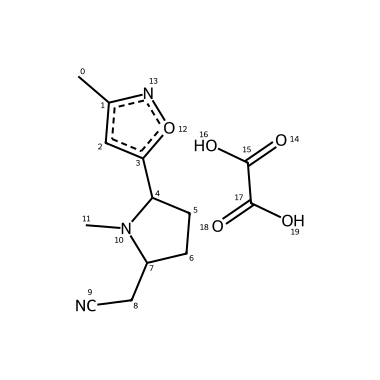 Cc1cc(C2CCC(CC#N)N2C)on1.O=C(O)C(=O)O